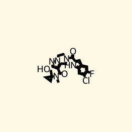 CN(C(=O)c1cnn2c1CN(C(=O)c1cc3cc(F)c(Cl)cc3[nH]1)CC2)C1(CO)CC1